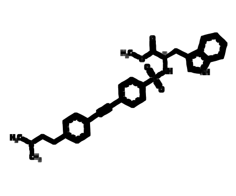 COC(=O)[C@@H](Cc1c[nH]c2ccccc12)NS(=O)(=O)c1ccc(C#Cc2ccc(CCN(C)C)cc2)cc1